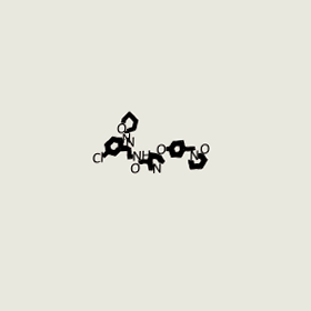 O=C(NCc1nn(C2CCCCO2)c2ccc(Cl)cc12)c1cncc(Oc2ccc(Cn3ccccc3=O)cc2)c1